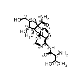 C[C@@H](O)[C@H](N)C(=O)Nc1ncnc2c1ncn2[C@]1(C(N)=O)O[C@H](CO)[C@@H](O)[C@@]1(C)O